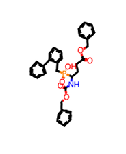 O=C(CCC(NC(=O)OCc1ccccc1)P(=O)(O)Cc1ccccc1-c1ccccc1)OCc1ccccc1